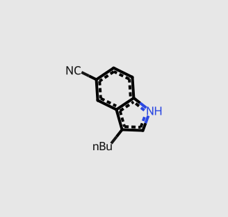 [CH2]CCCc1c[nH]c2ccc(C#N)cc12